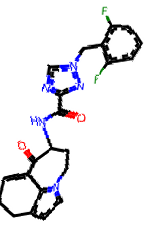 O=C(NC1CCn2ccc3c2C(=CCC3)C1=O)c1ncn(Cc2c(F)cccc2F)n1